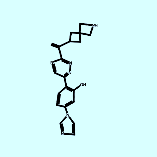 C=C(c1ncc(-c2ccc(-n3ccnc3)cc2O)nn1)C1CC2(CNC2)C1